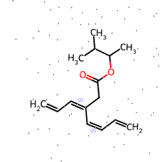 C=C/C=C\C(=C/C=C)CC(=O)OC(C)C(C)C